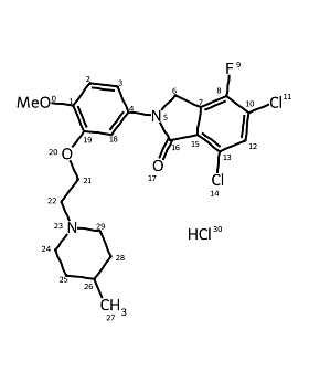 COc1ccc(N2Cc3c(F)c(Cl)cc(Cl)c3C2=O)cc1OCCN1CCC(C)CC1.Cl